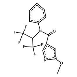 COn1cc(C(=O)N(c2ccccc2)C(C(F)(F)F)C(F)(F)F)cn1